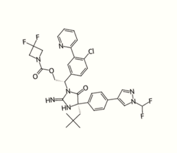 CC(C)(C)C[C@]1(c2ccc(-c3cnn(C(F)F)c3)cc2)NC(=N)N([C@H](COC(=O)N2CC(F)(F)C2)c2ccc(Cl)c(-c3ccccn3)c2)C1=O